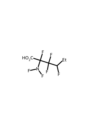 CCC(F)C(F)(F)C(F)(C(=O)O)N(F)F